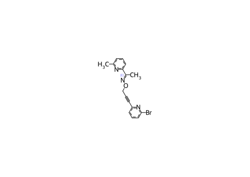 C/C(=N\OCC#Cc1cccc(Br)n1)c1cccc(C)n1